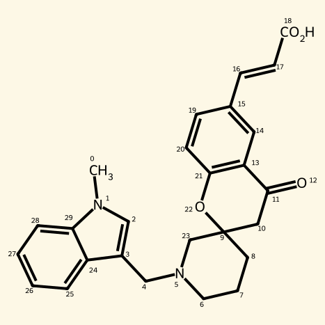 Cn1cc(CN2CCCC3(CC(=O)c4cc(C=CC(=O)O)ccc4O3)C2)c2ccccc21